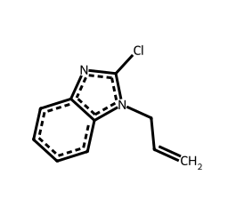 C=CCn1c(Cl)nc2ccccc21